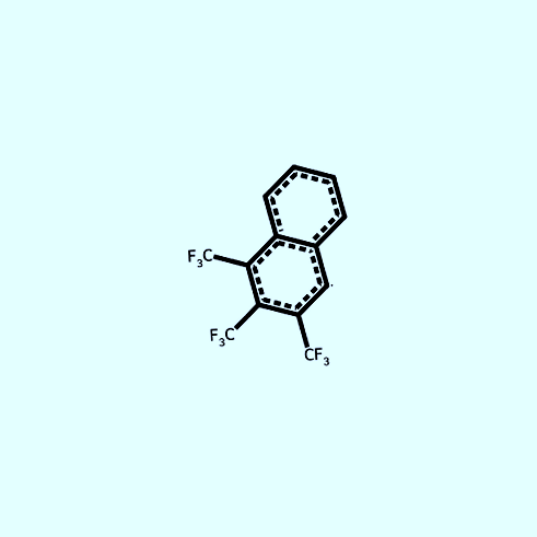 FC(F)(F)c1[c]c2ccccc2c(C(F)(F)F)c1C(F)(F)F